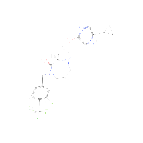 O=C1[C@@H]2C[C@H](Oc3cnc(C4CC4)cn3)CN2CCCN1Cc1ccc(C(F)(F)F)c(F)c1